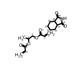 C=CC(=O)OCC(C)OC(=O)C=C.O=C1NC(=O)C2CCCCC12